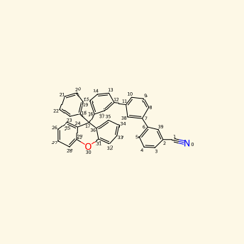 N#Cc1cccc(-c2cccc(-c3cccc(C4(c5ccccc5)c5ccccc5Oc5ccccc54)c3)c2)c1